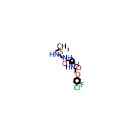 CC1CNC(CNC(=O)C23CC(C2)[C@@H](NC(=O)COc2ccc(Cl)c(F)c2)C3)S1